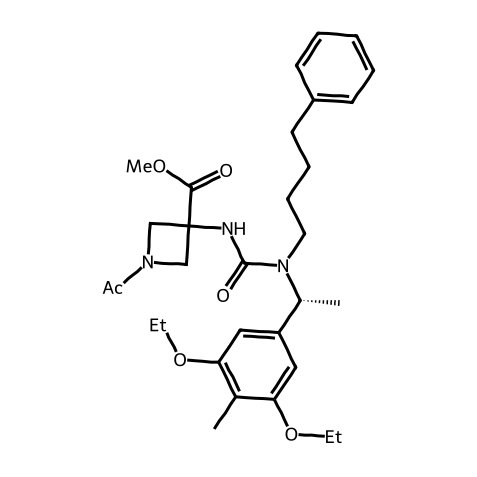 CCOc1cc([C@@H](C)N(CCCCc2ccccc2)C(=O)NC2(C(=O)OC)CN(C(C)=O)C2)cc(OCC)c1C